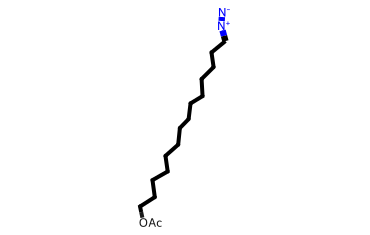 CC(=O)OCCCCCCCCCCCCCC=[N+]=[N-]